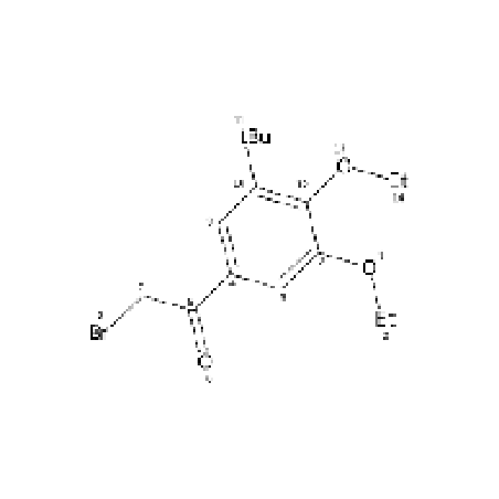 CCOc1cc(C(=O)CBr)cc(C(C)(C)C)c1OCC